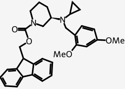 COc1ccc(CN(C2CC2)[C@@H]2CCCN(C(=O)OCC3c4ccccc4-c4ccccc43)C2)c(OC)c1